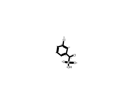 O=S(=O)(O)C(Cl)c1cccc(Cl)c1